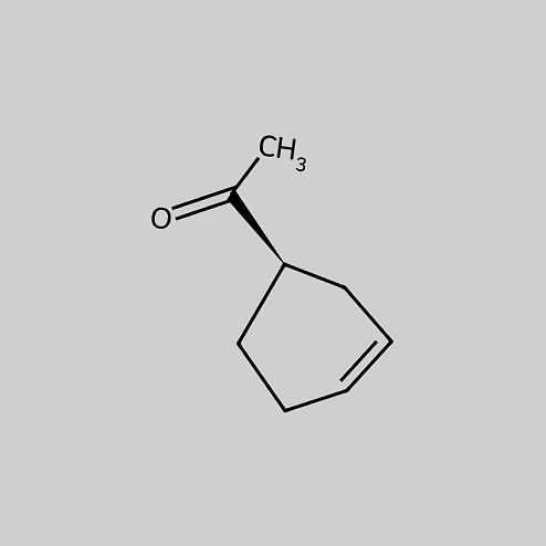 CC(=O)[C@H]1CC=CCC1